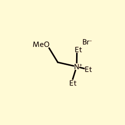 CC[N+](CC)(CC)COC.[Br-]